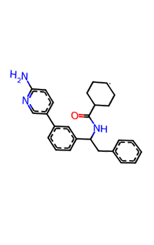 Nc1ccc(-c2cccc(C(Cc3ccccc3)NC(=O)C3CC[CH]CC3)c2)cn1